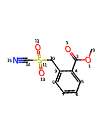 COC(=O)c1ccccc1CS(=O)(=O)C#N